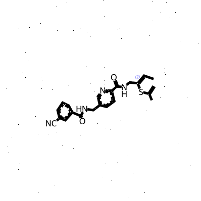 C=C(C)S/C(=C\C)CNC(=O)c1ccc(CNC(=O)c2cccc(C#N)c2)cn1